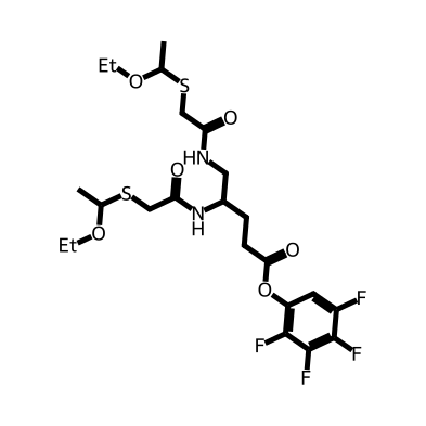 CCOC(C)SCC(=O)NCC(CCC(=O)Oc1cc(F)c(F)c(F)c1F)NC(=O)CSC(C)OCC